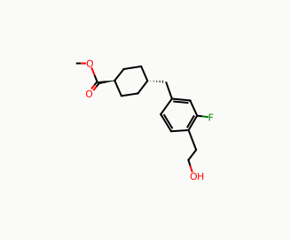 COC(=O)[C@H]1CC[C@H](Cc2ccc(CCO)c(F)c2)CC1